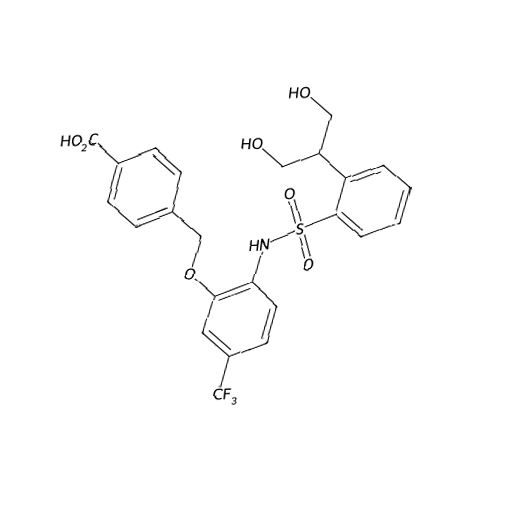 O=C(O)c1ccc(COc2cc(C(F)(F)F)ccc2NS(=O)(=O)c2ccccc2C(CO)CO)cc1